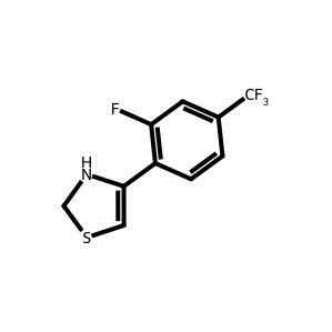 Fc1cc(C(F)(F)F)ccc1C1=CSCN1